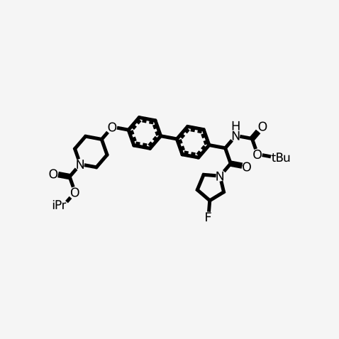 CC(C)OC(=O)N1CCC(Oc2ccc(-c3ccc(C(NC(=O)OC(C)(C)C)C(=O)N4CCC(F)C4)cc3)cc2)CC1